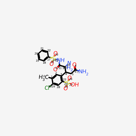 Cc1cc(C(CC(N)=O)[C@H](N)C(=O)NS(=O)(=O)c2ccccc2)c(S(=O)(=O)O)cc1Cl